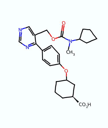 CN(C(=O)OCc1cncnc1-c1ccc(OC2CCC[C@H](C(=O)O)C2)cc1)C1CCCC1